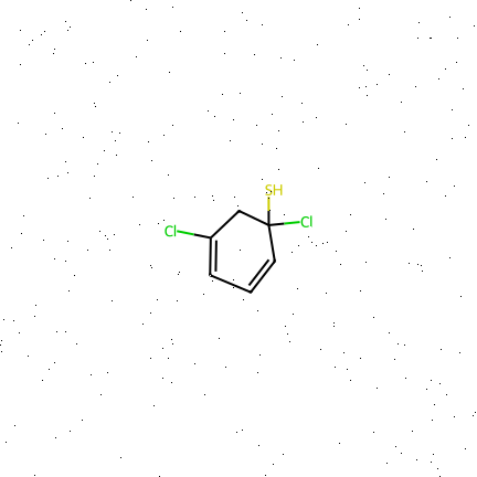 SC1(Cl)C=CC=C(Cl)C1